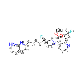 CC1(F)CC(c2ncccc2C(C(=O)OC(C)(C)C)N2CC[C@@H](C(F)CCCCc3ccc4c(n3)NCCC4)C2)C1